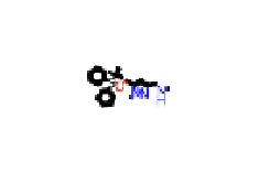 CNCc1cc(CO[Si](c2ccccc2)(c2ccccc2)C(C)(C)C)n(C)n1